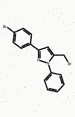 BrCc1cc(-c2ccc(Br)cc2)nn1-c1ccccc1